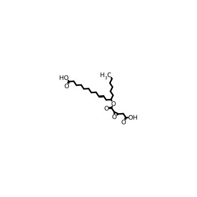 CCCCCCC(CC=CCCCCCCCC(=O)O)OC(=O)C1OC1CC(=O)O